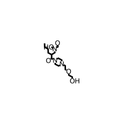 CCCCC(CN(O)C=O)C(=O)N1CCN(CCOCCO)CC1